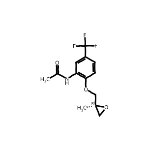 CC(=O)Nc1cc(C(F)(F)F)ccc1OC[C@]1(C)CO1